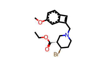 CCOC(=O)[C@@H]1CN(CC2=Cc3ccc(OC)cc32)CC[C@H]1Br